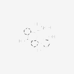 C=C1c2ccccc2CC(CCN(C)C)c2ccccc21.O=C(O)/C=C\C(=O)O